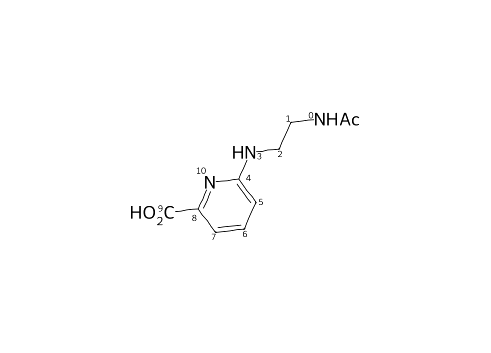 CC(=O)NCCNc1cccc(C(=O)O)n1